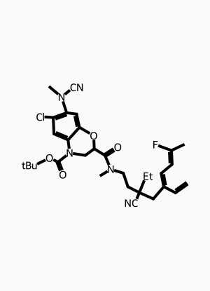 C=CC(=CC=C(C)F)CC(C#N)(CC)CCN(C)C(=O)C1CN(C(=O)OC(C)(C)C)c2cc(Cl)c(N(C)C#N)cc2O1